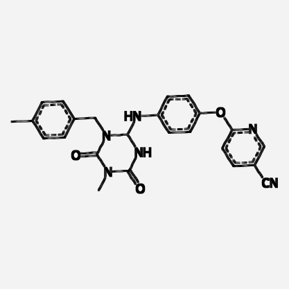 Cc1ccc(CN2C(=O)N(C)C(=O)NC2Nc2ccc(Oc3ccc(C#N)cn3)cc2)cc1